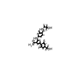 Cc1nc(Nc2sc(-c3c(F)cc(C(C)(C)O)cc3F)cc2C(N)=O)ccc1CNC(C)C(C)(C)O